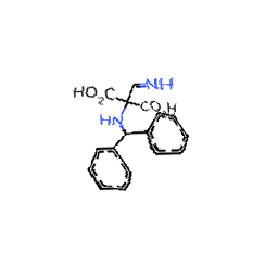 N=CC(NC(c1ccccc1)c1ccccc1)(C(=O)O)C(=O)O